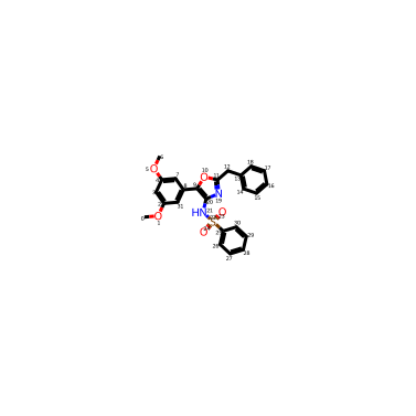 COc1cc(OC)cc(-c2oc(Cc3ccccc3)nc2NS(=O)(=O)c2ccccc2)c1